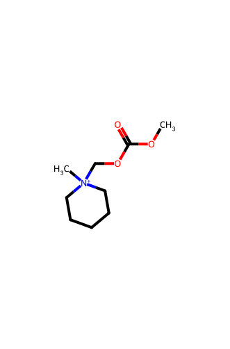 COC(=O)OC[N+]1(C)CCCCC1